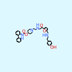 O=C(Nc1ccccc1-c1ccccc1)OC1CCN(CCNCC(=O)c2ccc(CNCCc3ccc(O)cc3)o2)CC1